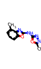 Cc1nnc(Nc2nc3c(C)cccc3o2)o1